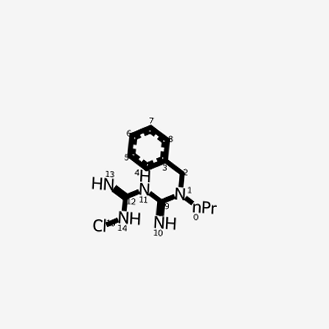 CCCN(Cc1ccccc1)C(=N)NC(=N)NCl